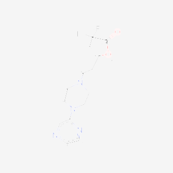 CCC1(CC)CC(CCN2CCN(c3cnccn3)CC2)OC1=O